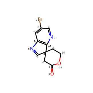 O=C1CC2(C=Nc3cc(Br)cnc32)CCO1